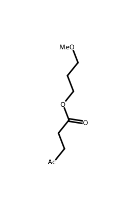 COCCCOC(=O)CCC(C)=O